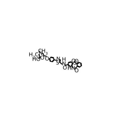 CC(C(=O)O)N(C)CCCOc1ccc(-c2ncc(CNC(=O)c3ccc4c(c3)NC(=O)c3ccccc3S4(=O)=O)s2)cc1